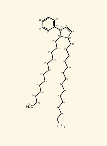 CCCCCCCCCCCCCCCN1C=CN(c2ccccc2)C1CCCCCCCCCCCCC